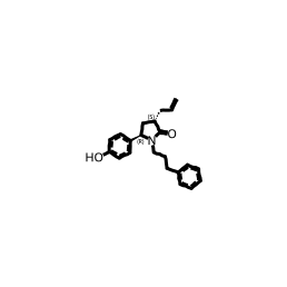 C=CC[C@H]1C[C@H](c2ccc(O)cc2)N(CCCc2ccccc2)C1=O